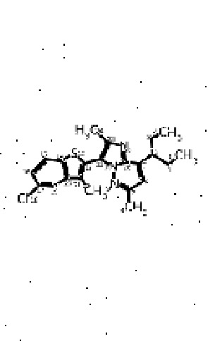 CCC(CC)c1cc(C)nn2c(-c3sc4ccc(Cl)cc4c3C)c(C)nc12